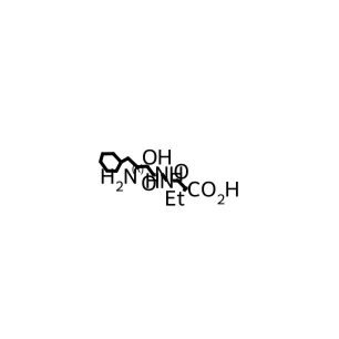 CCC(C(=O)O)C(=O)NNC(=O)C(O)[C@H](N)CC1CCCCC1